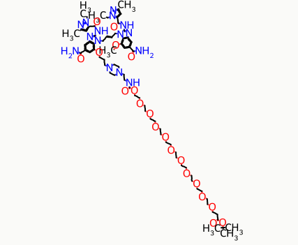 CCn1nc(C)cc1C(=O)Nc1nc2cc(C(N)=O)cc(OC)c2n1C/C=C/Cn1c(NC(=O)c2cc(C)nn2CC)nc2cc(C(N)=O)cc(OCCCN3CCN(CCNC(=O)OCCOCCOCCOCCOCCOCCOCCOCCOCCOCCOCCC(=O)OC(C)(C)C)CC3)c21